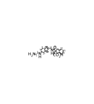 NCCNc1ccc2nc(CNC(=O)C3(CC(=O)O)Cc4ccccc4C3)sc2c1